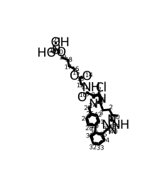 CCCCc1nc(Cl)c(C(=O)NCC(=O)OCCCCON(O)O)n1Cc1ccc(-c2ccccc2-c2nn[nH]n2)cc1